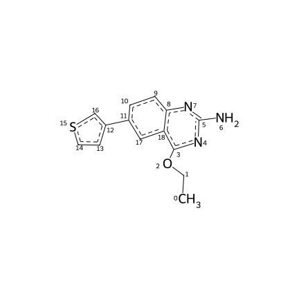 CCOc1nc(N)nc2ccc(-c3ccsc3)cc12